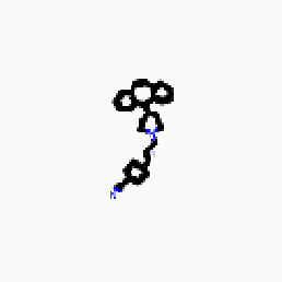 N#Cc1ccc(/C=C/CN2CCC(=C3c4ccccc4C=Cc4ccccc43)CC2)cc1